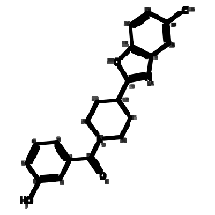 O=C(c1cccc(O)c1)N1CCC(c2nc3cc(Cl)ccc3o2)CC1